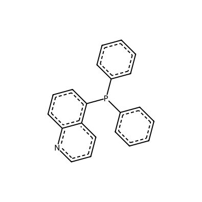 c1ccc(P(c2ccccc2)c2cccc3ncccc23)cc1